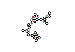 c1ccc(-c2cc(-c3ccc4c(c3)sc3ccccc34)nc(-c3ccc(-c4ccc5c(c4)C4(c6ccccc6-c6ccccc64)c4ccccc4C54c5ccccc5-c5c(-c6ccc7c(c6)oc6cc(-c8cc(-c9ccccc9)nc(-c9cccc(-c%10ccc%11c(c%10)-c%10ccccc%10C%11%10c%11ccccc%11C%11(c%12ccccc%12-c%12ccccc%12%11)c%11ccccc%11%10)c9)n8)ccc67)cccc54)cc3)n2)cc1